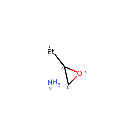 N.[CH2]CC1CO1